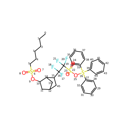 CCCCCCS(=O)(=O)OC1CC2CC1C(C(F)(F)C(F)(F)S(=O)(=O)OS(c1ccccc1)(c1ccccc1)c1ccccc1)C2